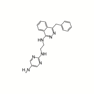 Nc1cnc(NCCNc2nnc(Cc3ccccc3)c3ccccc23)nc1